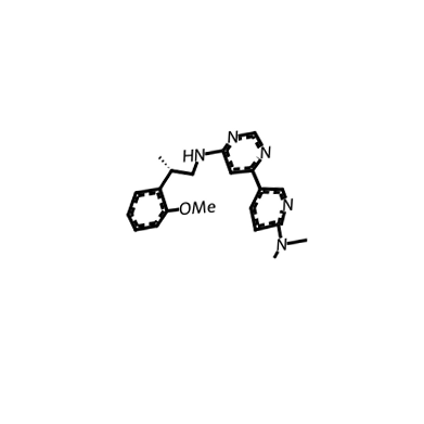 COc1ccccc1[C@H](C)CNc1cc(-c2ccc(N(C)C)nc2)ncn1